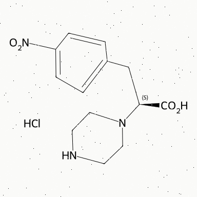 Cl.O=C(O)[C@H](Cc1ccc([N+](=O)[O-])cc1)N1CCNCC1